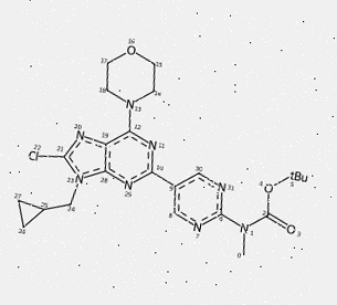 CN(C(=O)OC(C)(C)C)c1ncc(-c2nc(N3CCOCC3)c3nc(Cl)n(CC4CC4)c3n2)cn1